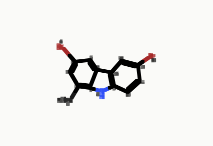 CCCCCCc1cc(Br)cc2c1[nH]c1ccc(Br)cc12